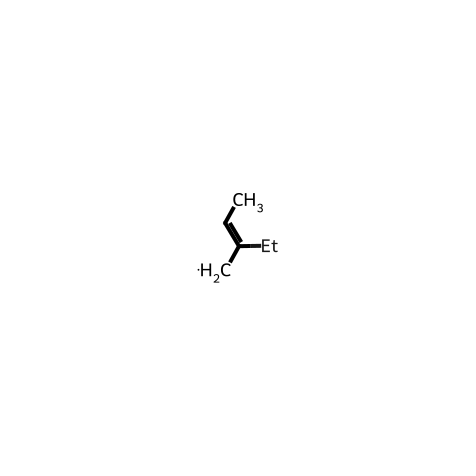 [CH2]/C(=C/C)CC